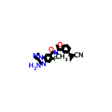 CN(C(=O)c1cc2c(cc1F)nc(N)c1cncn12)[C@@H]1COc2ccc([C@@H]3C[C@H]3C#N)cc21